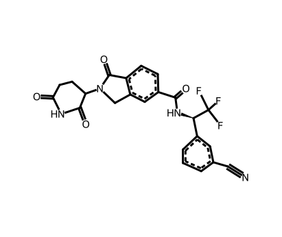 N#Cc1cccc([C@@H](NC(=O)c2ccc3c(c2)CN(C2CCC(=O)NC2=O)C3=O)C(F)(F)F)c1